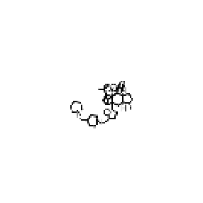 CC(C)C1=CC2CC3(C=O)[C@@H]4CC[C@@H](C)[C@H]4CC2(C2CCC(CN4CCC(CN5CCCCC5)CC4)O2)C13C(=O)O